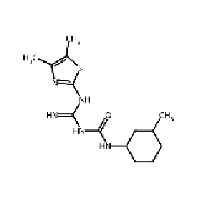 Cc1nc(NC(=N)NC(=O)NC2CCCC(C)C2)sc1C